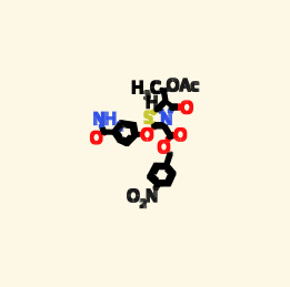 CC(=O)O[C@H](C)[C@H]1C(=O)N2C(C(=O)OCc3ccc([N+](=O)[O-])cc3)=C(Oc3ccc(C(N)=O)cc3)S[C@H]12